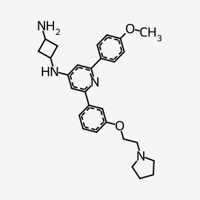 COc1ccc(-c2cc(NC3CC(N)C3)cc(-c3cccc(OCCN4CCCC4)c3)n2)cc1